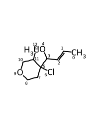 CC=CC(O)C1(Cl)CCOCC1C